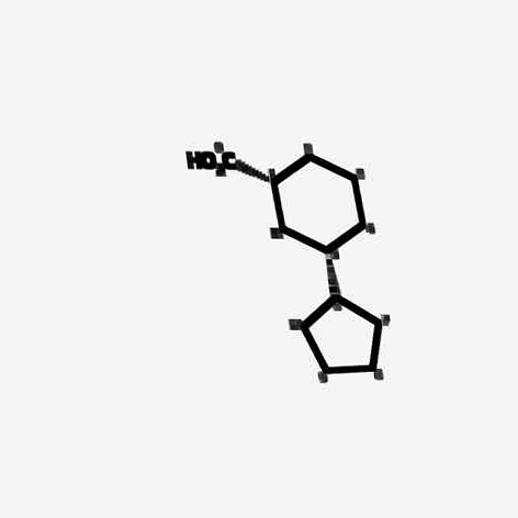 O=C(O)[C@@H]1CCC[C@H](C2CCCC2)C1